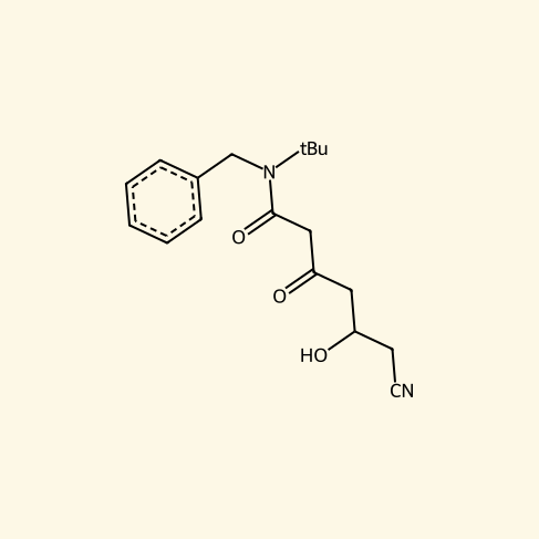 CC(C)(C)N(Cc1ccccc1)C(=O)CC(=O)CC(O)CC#N